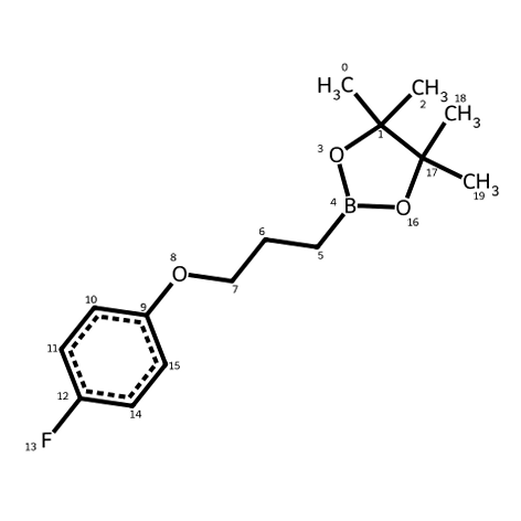 CC1(C)OB(CCCOc2ccc(F)cc2)OC1(C)C